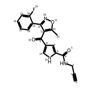 C#CCNC(=O)c1cc(C(=O)c2c(-c3ccccc3F)noc2C)c[nH]1